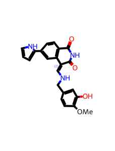 COc1ccc(CN/C=C2\C(=O)NC(=O)c3ccc(-c4ccc[nH]4)cc32)cc1O